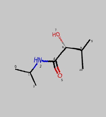 CC(C)NC(=O)[C@H](O)C(C)C